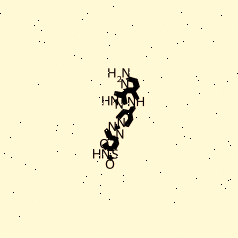 Nc1ccc(CNCC2CCN(c3nccc(C=C4SC(=O)NC4=O)n3)CC2)c(-c2cn[nH]c2)n1